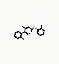 C\C=C(/C(C)=C\C(C)=N\c1ccccc1C)c1ccccc1C